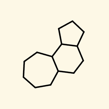 C1CCC2CCC3CCCC3C2CC1